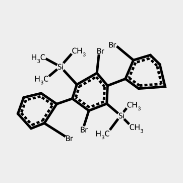 C[Si](C)(C)c1c(Br)c(-c2ccccc2Br)c([Si](C)(C)C)c(Br)c1-c1ccccc1Br